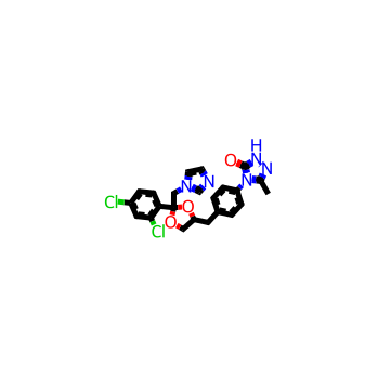 Cc1n[nH]c(=O)n1-c1ccc(CC2COC(Cn3ccnc3)(c3ccc(Cl)cc3Cl)O2)cc1